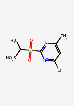 Cc1cc(Cl)nc(S(=O)(=O)C(C)S(=O)(=O)O)n1